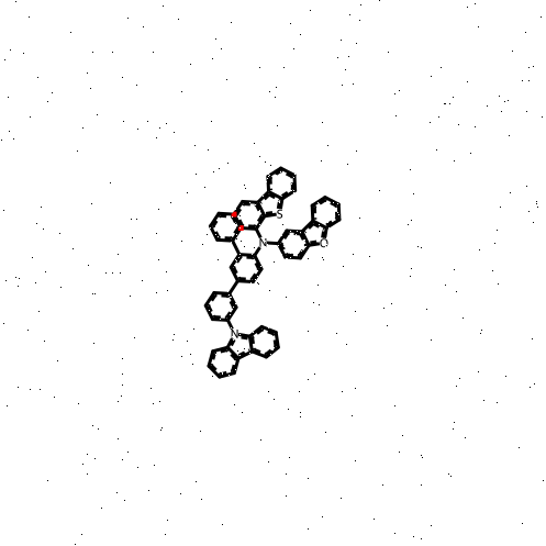 c1ccc(-c2cc(-c3cccc(-n4c5ccccc5c5ccccc54)c3)ccc2N(c2ccc3oc4ccccc4c3c2)c2cccc3c2sc2ccccc23)cc1